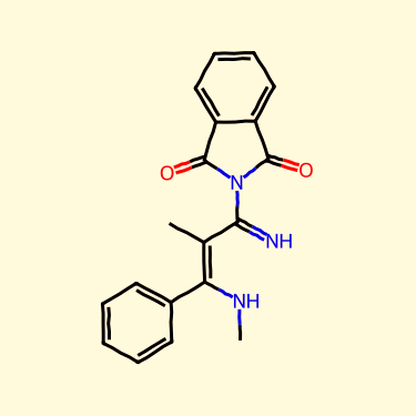 CN/C(=C(/C)C(=N)N1C(=O)c2ccccc2C1=O)c1ccccc1